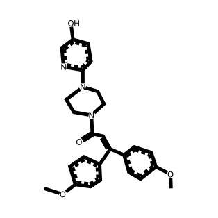 COc1ccc(C(=CC(=O)N2CCN(c3ccc(O)cn3)CC2)c2ccc(OC)cc2)cc1